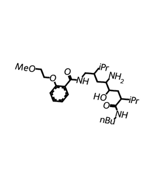 CCCCNC(=O)C(CC(O)C(N)CC(CNC(=O)c1ccccc1OCCOC)C(C)C)C(C)C